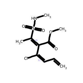 C=C/C=C(Cl)\C(C(=O)OC)=C(/C)S(=O)(=O)NC